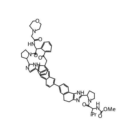 COC(=O)NC(C(=O)N1CCCC1c1nc2c([nH]1)-c1ccc(-c3ccc4cc(-c5cnc(C6CCCN6C(=O)C(NC(=O)CN6CCOCC6)c6ccccc6C(=O)Cc6ccccc6)[nH]5)ccc4c3)cc1CC2)C(C)C